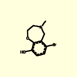 CN1CCOc2c(O)ccc(Br)c2C1